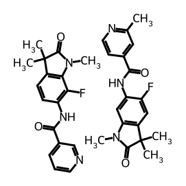 CN1C(=O)C(C)(C)c2ccc(NC(=O)c3cccnc3)c(F)c21.Cc1cc(C(=O)Nc2cc3c(cc2F)C(C)(C)C(=O)N3C)ccn1